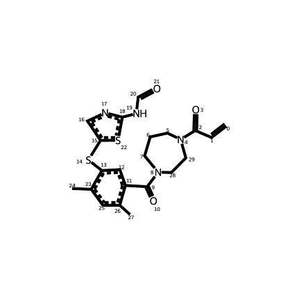 C=CC(=O)N1CCCN(C(=O)c2cc(Sc3cnc(NC=O)s3)c(C)cc2C)CC1